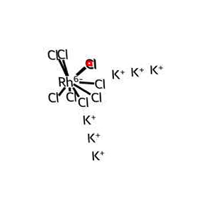 [Cl][Rh-6]([Cl])([Cl])([Cl])([Cl])([Cl])([Cl])([Cl])[Cl].[K+].[K+].[K+].[K+].[K+].[K+]